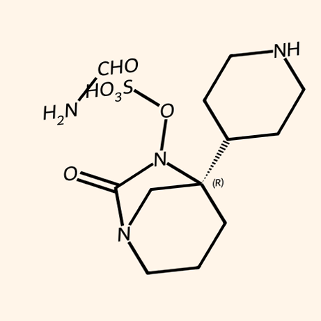 NC=O.O=C1N2CCC[C@@](C3CCNCC3)(C2)N1OS(=O)(=O)O